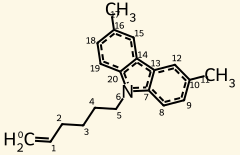 C=CCCCCn1c2ccc(C)cc2c2cc(C)ccc21